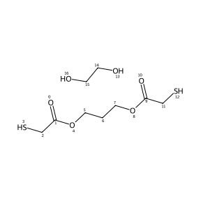 O=C(CS)OCCCOC(=O)CS.OCCO